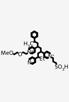 CCC(CC(CC(CC(C)c1ccccc1)c1cc[n+](CCOCCOC)cc1)c1cc[n+](CCCS(=O)(=O)O)cc1)c1ccncc1